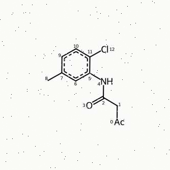 CC(=O)CC(=O)Nc1cc(C)ccc1Cl